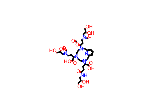 O=COC(CCN(C=O)C[C@@H](O)CO)N1CCN(C(CCN(C=O)C[C@@H](O)CO)C(=O)O)CCN(C(CCC(=O)NC[C@@H](O)CO)C(=O)O)Cc2cccc(n2)C1